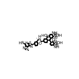 CNc1nc2sc(-c3cccc([C@H](C)NC(=O)c4ccc(-c5c6ccc(=N)c(S(=O)(=O)O)c-6oc6c(S(=O)(=O)O)c(N)ccc56)c(C(=O)O)c4)c3)nc2c2c1ncn2C